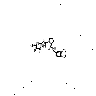 CCc1nc2sc(N3CCCC3C(=O)NCc3ccc(Cl)c(Cl)c3)nn2c(=O)c1F